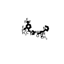 CC(c1ccc(C(F)(F)F)cc1C(F)(F)F)n1cc(NC(=O)c2cc(-c3ccccn3)nn2C)cn1